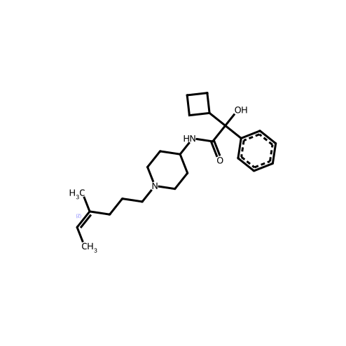 C/C=C(/C)CCCN1CCC(NC(=O)C(O)(c2ccccc2)C2CCC2)CC1